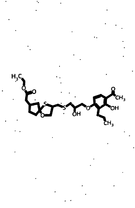 CCCc1c(OCC(O)CSCC2COC3(CCC(CC(=O)OCC)C3)S2)ccc(C(C)=O)c1O